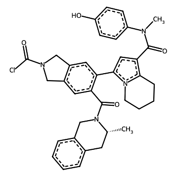 C[C@@H]1Cc2ccccc2CN1C(=O)c1cc2c(cc1-c1cc(C(=O)N(C)c3ccc(O)cc3)c3n1CCCC3)CN(C(=O)Cl)C2